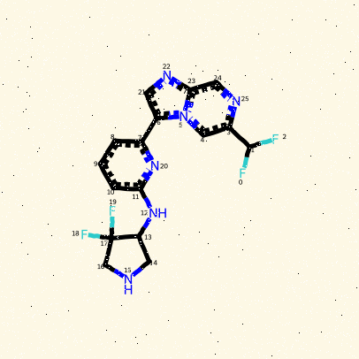 FC(F)c1cn2c(-c3cccc(NC4CNCC4(F)F)n3)cnc2cn1